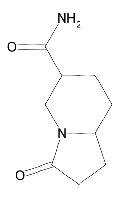 NC(=O)C1CCC2CCC(=O)N2C1